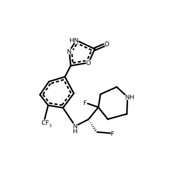 O=c1[nH]nc(-c2ccc(C(F)(F)F)c(N[C@@H](CF)C3(F)CCNCC3)c2)o1